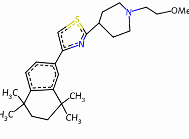 COCCN1CCC(c2nc(-c3ccc4c(c3)C(C)(C)CCC4(C)C)cs2)CC1